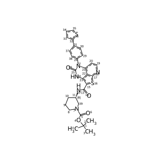 CC(C)(C)OC(=O)N1CCC[C@@H](NC(=O)c2sc3nccc4c3c2NC(=O)N4c2ccc(-c3cccs3)cc2)C1